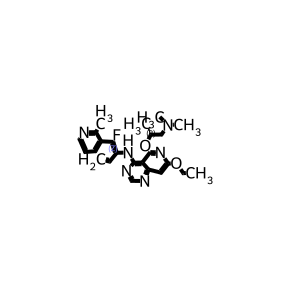 C=C/C(Nc1ncnc2cc(OCC)nc(O[C@H](C)CN(C)C)c12)=C(/F)c1cccnc1C